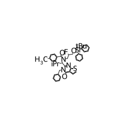 Cc1ccc(C(=O)N(CC(F)CO[Si](c2ccccc2)(c2ccccc2)C(C)(C)C)C(c2nc3sccc3c(=O)n2Cc2ccccc2)C(C)C)cc1